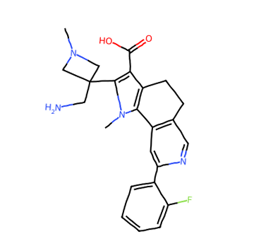 CN1CC(CN)(c2c(C(=O)O)c3c(n2C)-c2cc(-c4ccccc4F)ncc2CC3)C1